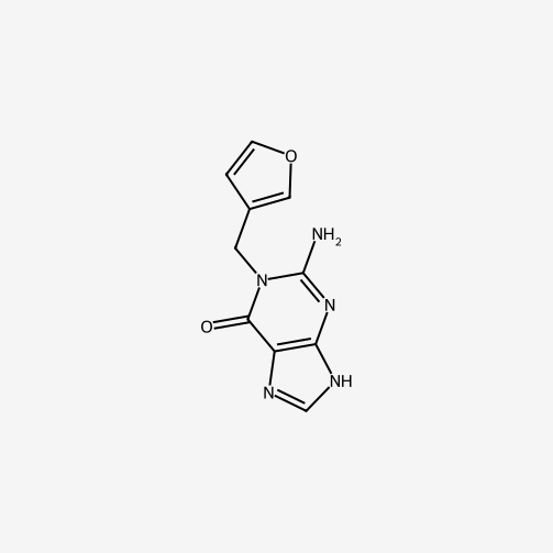 Nc1nc2[nH]cnc2c(=O)n1Cc1ccoc1